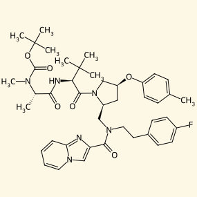 Cc1ccc(O[C@H]2C[C@@H](CN(CCc3ccc(F)cc3)C(=O)c3cn4ccccc4n3)N(C(=O)[C@@H](NC(=O)[C@H](C)N(C)C(=O)OC(C)(C)C)C(C)(C)C)C2)cc1